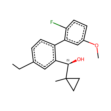 CCc1ccc(-c2cc(OC)ccc2F)c([C@@H](O)C2(C)CC2)c1